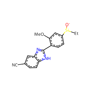 CC[S+]([O-])c1ccc(-c2nc3cc(C#N)ccc3[nH]2)c(OC)c1